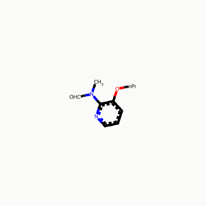 CCCOc1cccnc1N(C)C=O